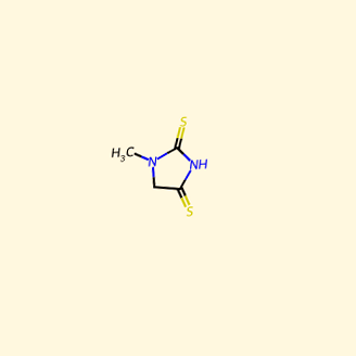 CN1CC(=S)NC1=S